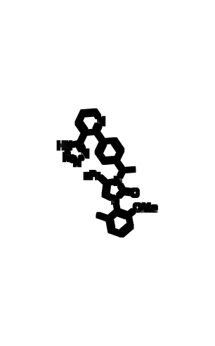 CCCc1cn(-c2c(C)cccc2OC)c(=O)n1C(C)c1ccc(-c2ncccc2-c2nnn[nH]2)cc1